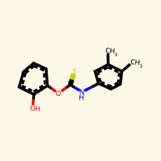 Cc1ccc(NC(=S)Oc2ccccc2O)cc1C